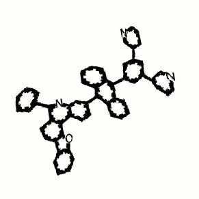 c1ccc(-c2nc3cc(-c4c5ccccc5c(-c5cc(-c6cccnc6)cc(-c6cccnc6)c5)c5ccccc45)ccc3c3c2ccc2c4ccccc4oc23)cc1